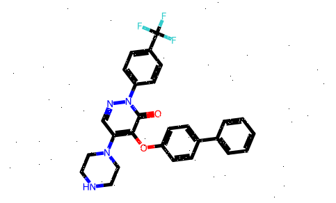 O=c1c(Oc2ccc(-c3ccccc3)cc2)c(N2CCNCC2)cnn1-c1ccc(C(F)(F)F)cc1